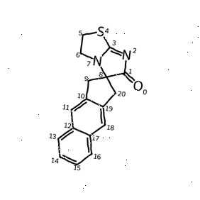 O=C1N=C2SCCN2C12Cc1cc3ccccc3cc1C2